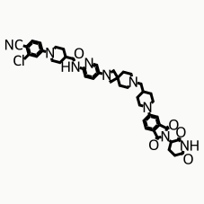 N#Cc1ccc(N2CCC(C(=O)Nc3ccc(N4CC5(CCN(CC6CCN(c7ccc8c(c7)C(=O)N(C7CCC(=O)NC7=O)C8=O)CC6)CC5)C4)cn3)CC2)cc1Cl